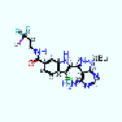 CC(C)(C)n1nc(-c2[nH]c3cc(C(=O)NCCC(F)(F)I)ccc3c2Cl)c2c(N)ncnc21